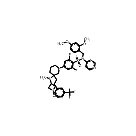 COc1ccc(CN(c2ccncn2)S(=O)(=O)c2c(F)cc(N3CCCC(CCc4cccc(C(F)(F)F)c4)(N(C)C4CN(C)C4)C3)cc2F)c(OC)c1